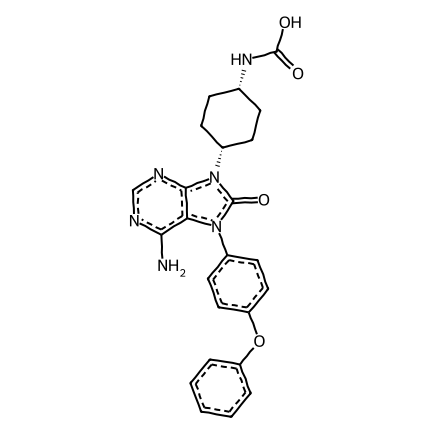 Nc1ncnc2c1n(-c1ccc(Oc3ccccc3)cc1)c(=O)n2[C@H]1CC[C@@H](NC(=O)O)CC1